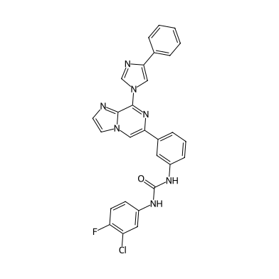 O=C(Nc1cccc(-c2cn3ccnc3c(-n3cnc(-c4ccccc4)c3)n2)c1)Nc1ccc(F)c(Cl)c1